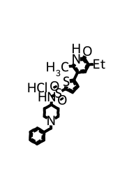 CCc1cc(-c2ccc(S(=O)(=O)NC3CCN(Cc4ccccc4)CC3)s2)c(C)[nH]c1=O.Cl